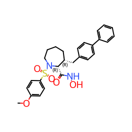 COc1ccc(S(=O)(=O)N2CCCC[C@H](Cc3ccc(-c4ccccc4)cc3)[C@@H]2C(=O)NO)cc1